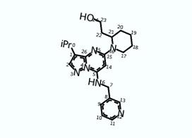 CC(C)c1cnn2c(NCc3cccnc3)cc(N3CCCCC3CCO)nc12